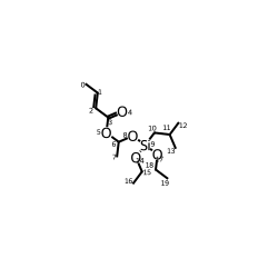 CC=CC(=O)OC(C)O[Si](CC(C)C)(OCC)OCC